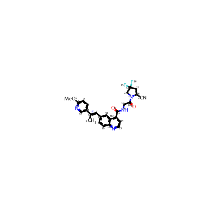 COc1ccc(/C(C)=C/c2ccc3nccc(C(=O)NCC(=O)N4CC(F)(F)CC4C#N)c3c2)cn1